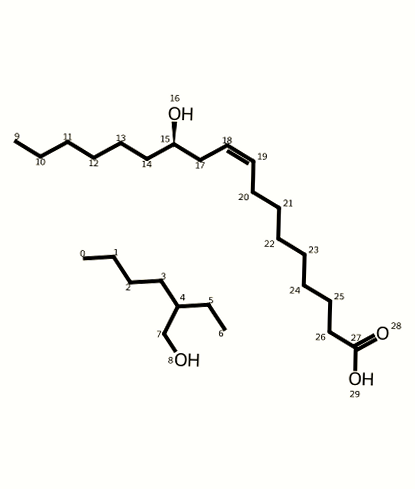 CCCCC(CC)CO.CCCCCC[C@@H](O)C/C=C\CCCCCCCC(=O)O